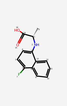 C[C@H](Nc1ccc(F)c2ccccc12)C(=O)O